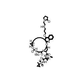 C=C[C@@H]1C[C@]1(NC(=O)[C@@H]1C[C@@H]2CN1C(=O)[C@H](C(C)(C)C)NC(=O)O[C@@H]1C[C@H]1CCCCCc1c(nc3ccccc3c1OCCCNCCN1CCCC1=O)O2)C(=O)NS(=O)(=O)C1(C)CC1